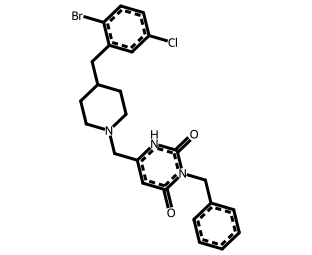 O=c1cc(CN2CCC(Cc3cc(Cl)ccc3Br)CC2)[nH]c(=O)n1Cc1ccccc1